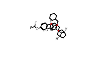 O=C(Nc1ccc(OC(F)F)cc1)N(CCN1[C@@H]2CC[C@H]1C[C@@H](c1cccc(O)c1)C2)CC1CCCCC1